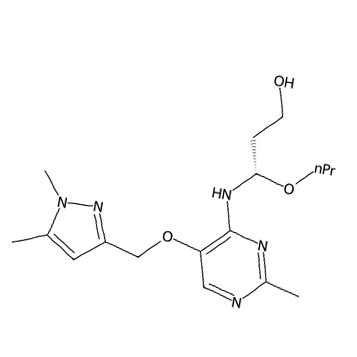 CCCO[C@@H](CCO)Nc1nc(C)ncc1OCc1cc(C)n(C)n1